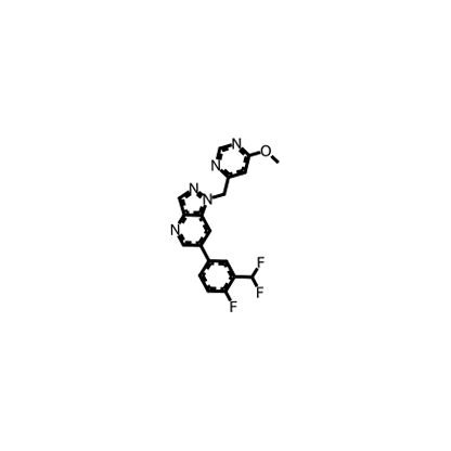 COc1cc(Cn2ncc3ncc(-c4ccc(F)c(C(F)F)c4)cc32)ncn1